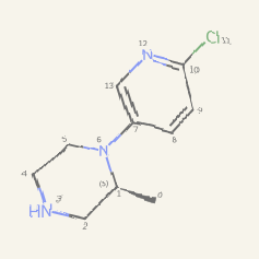 C[C@H]1CNCCN1c1ccc(Cl)nc1